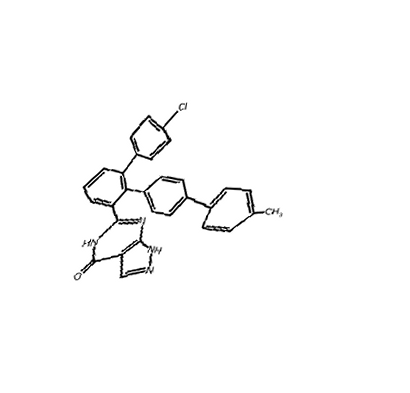 Cc1ccc(-c2ccc(-c3c(-c4ccc(Cl)cc4)cccc3-c3nc4[nH]ncc4c(=O)[nH]3)cc2)cc1